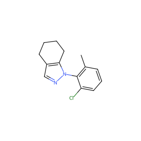 Cc1cccc(Cl)c1-n1ncc2c1CCCC2